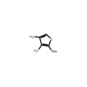 CSc1scc(C)c1C